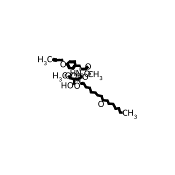 CC#CCOc1ccc(C[C@H](NC(=O)[C@@H](C=CCCCCCCC(=O)CCCCCCC)[C@@](O)(COC)C(=O)O)C(=O)OC)cc1